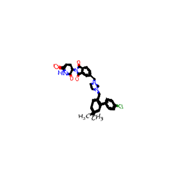 CC1(C)CCC(CN2CCN(Cc3ccc4c(c3)C(=O)N(C3CCC(=O)NC3=O)C4=O)C2)=C(c2ccc(Cl)cc2)C1